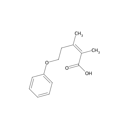 CC(CCOc1ccccc1)=C(C)C(=O)O